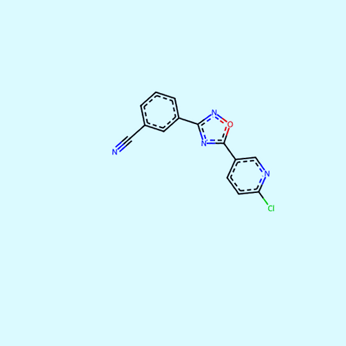 N#Cc1cccc(-c2noc(-c3ccc(Cl)nc3)n2)c1